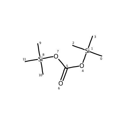 C[Si](C)(C)OC(=O)O[Si](C)(C)C